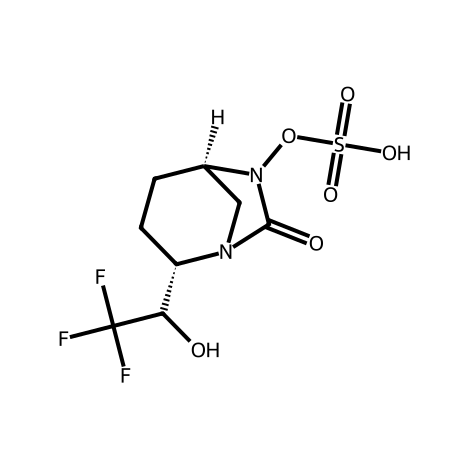 O=C1N2C[C@@H](CC[C@H]2C(O)C(F)(F)F)N1OS(=O)(=O)O